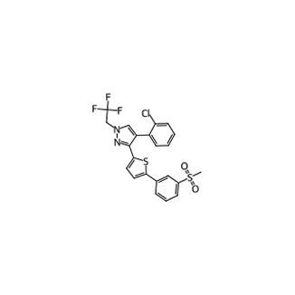 CS(=O)(=O)c1cccc(-c2ccc(-c3nn(CC(F)(F)F)cc3-c3ccccc3Cl)s2)c1